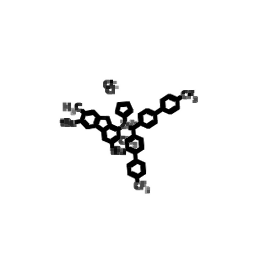 Cc1cc2c(cc1C(C)(C)C)-c1cc(C(C)(C)C)c(C)[c]([Zr+2]([C]3=CC=CC3)=[C](c3ccc(-c4ccc(C(F)(F)F)cc4)cc3)c3ccc(-c4ccc(C(F)(F)F)cc4)cc3)c1C2.[Cl-].[Cl-]